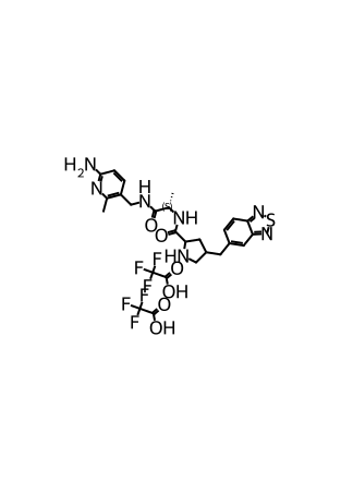 Cc1nc(N)ccc1CNC(=O)[C@H](C)NC(=O)C1CC(Cc2ccc3nsnc3c2)CN1.O=C(O)C(F)(F)F.O=C(O)C(F)(F)F